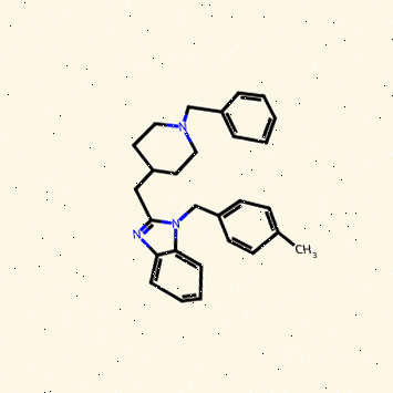 Cc1ccc(Cn2c(CC3CCN(Cc4ccccc4)CC3)nc3ccccc32)cc1